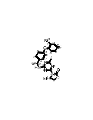 CC[C@H]1COC(=O)N1c1nc(C)nc(N[C@@H](C)c2ccc(Oc3ccc(F)cc3Br)cc2)n1